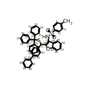 Cc1ccc(S(=O)(=O)Nc2c(C(SC(c3ccccc3)(c3ccccc3)c3ccccc3)c3ccc(-c4ccccc4)cc3)oc3ccccc23)cc1